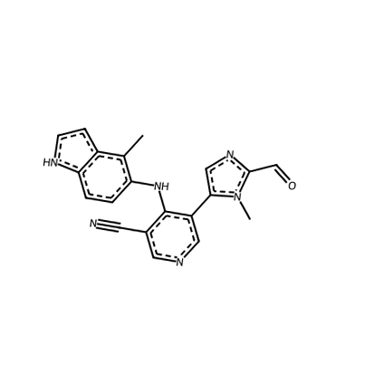 Cc1c(Nc2c(C#N)cncc2-c2cnc(C=O)n2C)ccc2[nH]ccc12